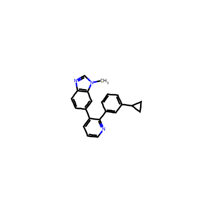 Cn1cnc2ccc(-c3cccnc3-c3cccc(C4CC4)c3)cc21